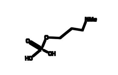 CNCCCOP(=O)(O)O